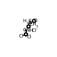 C[N+](C)(Cc1ccc(NC(=O)c2cc(Cl)cc(Cl)c2)cc1)C1CCOCC1.[Cl-]